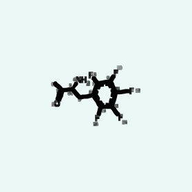 CC(=O)[C@@H](N)Cc1c(F)c(F)c(F)c(F)c1F